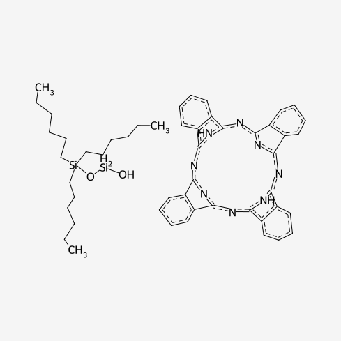 CCCCCC[Si](CCCCCC)(CCCCCC)O[SiH2]O.c1ccc2c(c1)-c1nc-2nc2[nH]c(nc3nc(nc4[nH]c(n1)c1ccccc41)-c1ccccc1-3)c1ccccc21